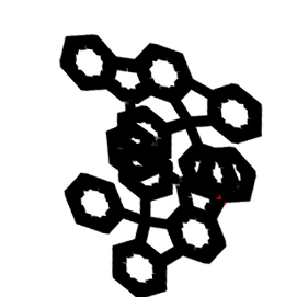 c1ccc(C2(c3ccccc3)c3ccccc3-c3ccc4c5ccccc5n(-c5cccc(-n6c7ccccc7c7ccc8c(c76)C(c6ccccc6)(c6ccccc6)c6ccccc6-8)n5)c4c32)cc1